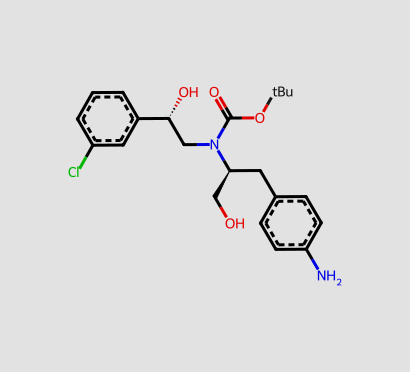 CC(C)(C)OC(=O)N(C[C@@H](O)c1cccc(Cl)c1)[C@H](CO)Cc1ccc(N)cc1